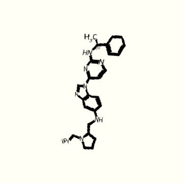 CC(C)CN1CCCC1CNc1ccc2c(c1)ncn2-c1ccnc(N[C@@H](C)c2ccccc2)n1